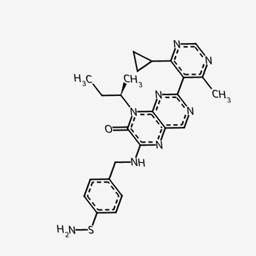 CC[C@@H](C)n1c(=O)c(NCc2ccc(SN)cc2)nc2cnc(-c3c(C)ncnc3C3CC3)nc21